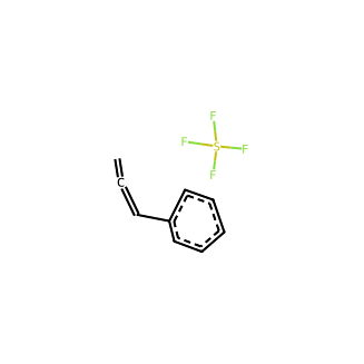 C=C=Cc1ccccc1.FS(F)(F)F